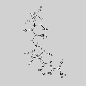 N#CC1C[C@@H]2C[C@@H]2N1C(=O)C(N)CN1C[C@@H]2C[C@H]1C(=O)N2c1cccc(C(N)=O)c1